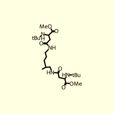 COC(=O)C(CC(=O)NCCCC(C)CNC(=O)CC(NC(C)(C)C)C(=O)OC)NC(C)(C)C